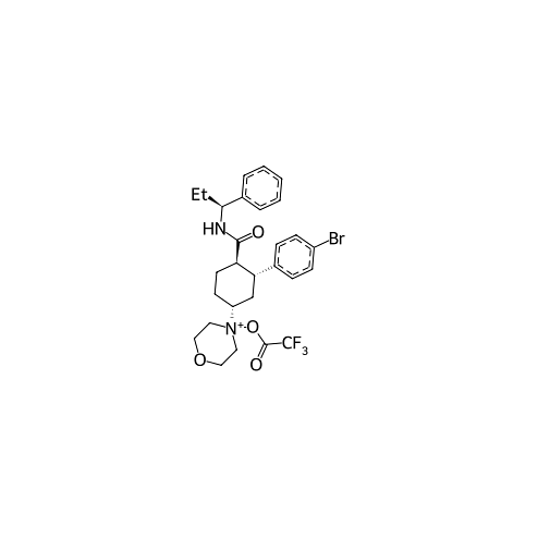 CC[C@H](NC(=O)[C@@H]1CC[C@@H]([N+]2(OC(=O)C(F)(F)F)CCOCC2)C[C@H]1c1ccc(Br)cc1)c1ccccc1